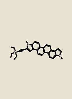 CC[Si](C#Cc1cc2c3ccc4c(ccc5c4ccc4c5ccn4C)c3ccc2n1C)(CC)CC